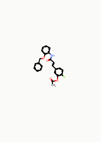 CC(=O)Oc1cc(/C=C/C(=O)Nc2ccccc2OCc2ccccc2)ccc1F